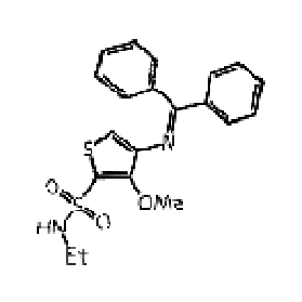 CCNS(=O)(=O)c1scc(N=C(c2ccccc2)c2ccccc2)c1OC